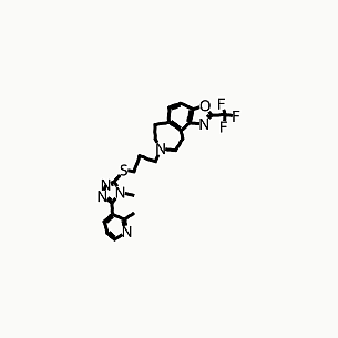 Cc1ncccc1-c1nnc(SCCCN2CCc3ccc4oc(C(F)(F)F)nc4c3CC2)n1C